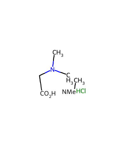 CN(C)CC(=O)O.CNC.Cl